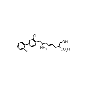 NC(CC=CCC(CO)C(=O)O)Cc1ccc(-c2ccccc2F)cc1Cl